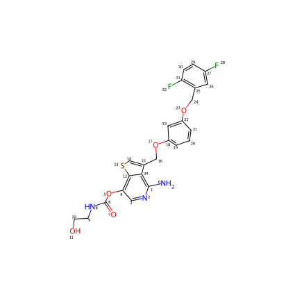 Nc1ncc(OC(=O)NCCO)c2scc(COc3cccc(OCc4cc(F)ccc4F)c3)c12